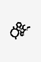 C=C/N=C1\C(=C/C)S2(c3ccccc3-c3c2ccc(=C)ccccc3=C)c2cccnc21